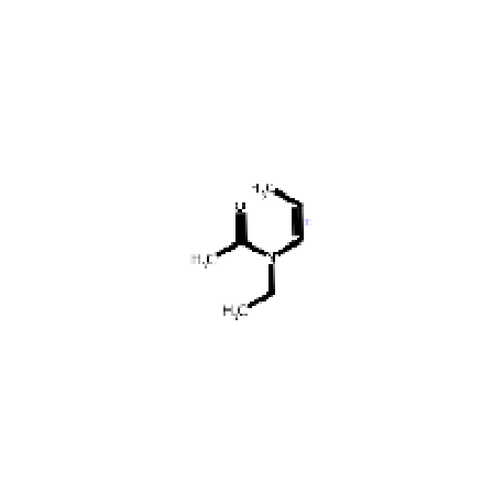 C/C=C\N(CC)C(C)=O